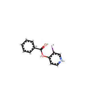 O=C(Oc1c[c]ncc1I)c1ccccc1